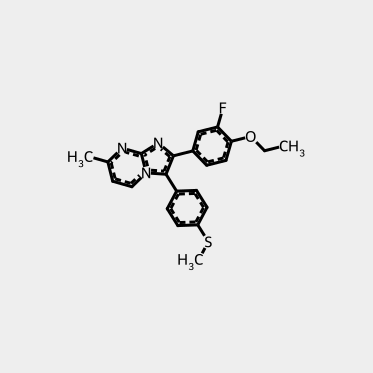 CCOc1ccc(-c2nc3nc(C)ccn3c2-c2ccc(SC)cc2)cc1F